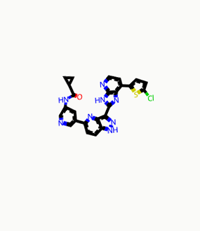 O=C(Nc1cncc(-c2ccc3[nH]nc(-c4nc5c(-c6ccc(Cl)s6)ccnc5[nH]4)c3n2)c1)C1CC1